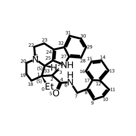 CC[C@@]1(C(C)C(=O)NCc2cccc3ccccc23)CCCN2CCc3c([nH]c4ccccc34)[C@@H]21